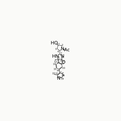 CC(=O)N1C[C@H](O)CC1C1=NC(=O)[C@](C)(c2ccc(-c3scnc3C)cc2)N1